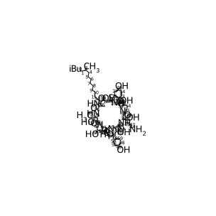 CCC(C)CC(C)CCCCCCCCC(=O)N[C@H]1C[C@@H](O)[C@@H](Sc2cccc(O)c2)NC(=O)[C@@H]2[C@@H](O)CCN2C(=O)[C@H]([C@H](O)CCN)NC(=O)[C@H]([C@H](O)[C@@H](O)c2ccc(O)cc2)NC(=O)[C@@H]2C[C@@H](O)CN2C(=O)[C@H]([C@@H](C)O)NC1=O